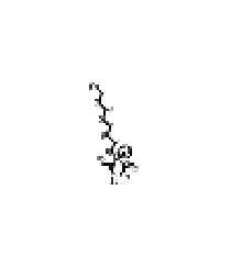 CCCCCCCCCP(=O)(C(C)C)C(C)C